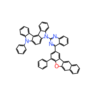 c1ccc(-c2cc(-c3nc(-n4c5ccccc5c5c6c7ccccc7n(-c7ccccc7)c6ccc54)nc4ccccc34)cc3c2oc2cc4ccccc4cc23)cc1